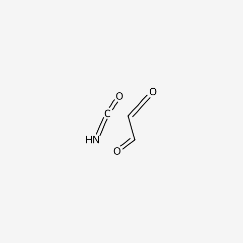 N=C=O.O=CC=O